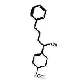 CCCCCCCCC1CC=C(C(CCCC)CCCc2ccccc2)CC1